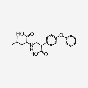 CC(C)CC(NCC(C(=O)O)c1ccc(Oc2ccccc2)cc1)C(=O)O